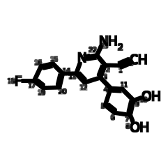 C#Cc1c(-c2ccc(O)c(O)c2)cc(-c2ccc(F)cc2)nc1N